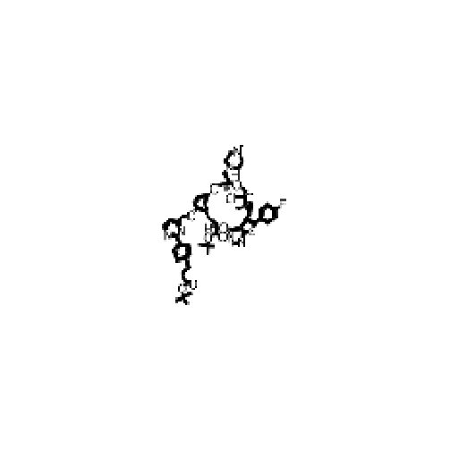 Cc1c2ccc(c1Cl)O[C@H](CN1CCN(C)CC1)COc1ccc(OCc3ccnc(-c4ccc(CCC(=O)OC(C)(C)C)cc4)n3)c(c1)C[C@H](C(=O)OC(C)(C)C)Oc1ncnc3sc(-c4ccc(F)cc4)c-2c13